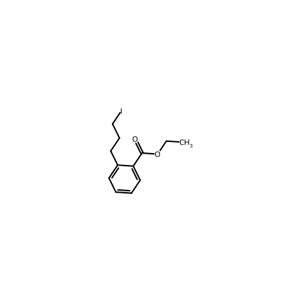 CCOC(=O)c1ccccc1CCCI